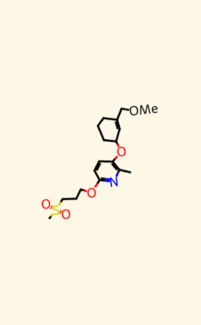 COCC1=CC(Oc2ccc(OCCCS(C)(=O)=O)nc2C)CCC1